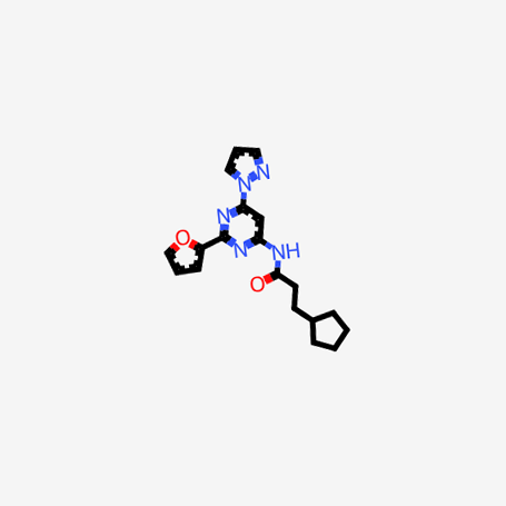 O=C(CCC1CCCC1)Nc1cc(-n2cccn2)nc(-c2ccco2)n1